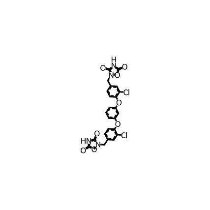 O=c1[nH]c(=O)n(Cc2ccc(Oc3cccc(Oc4ccc(Cn5oc(=O)[nH]c5=O)cc4Cl)c3)c(Cl)c2)o1